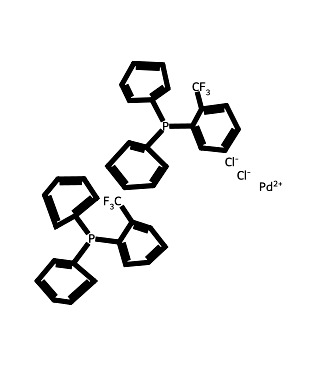 FC(F)(F)c1ccccc1P(c1ccccc1)c1ccccc1.FC(F)(F)c1ccccc1P(c1ccccc1)c1ccccc1.[Cl-].[Cl-].[Pd+2]